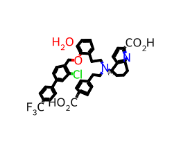 O.O=C(O)c1ccc(CCN(CCc2ccccc2OCc2ccc(-c3ccc(C(F)(F)F)cc3)cc2Cl)[C@@H]2CCCc3nc(C(=O)O)ccc32)cc1